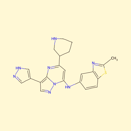 Cc1nc2cc(Nc3cc(C4CCCNC4)nc4c(-c5cn[nH]c5)cnn34)ccc2s1